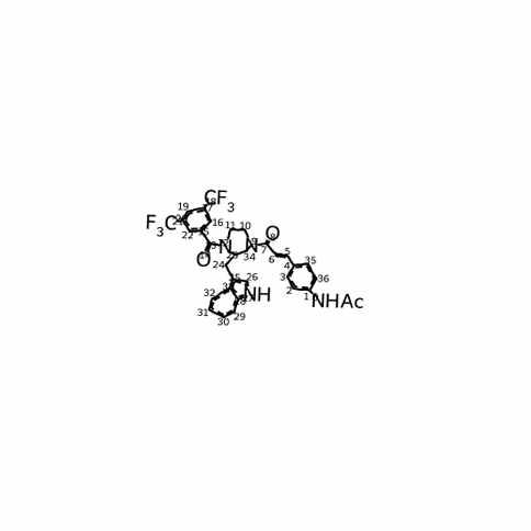 CC(=O)Nc1ccc(/C=C/C(=O)N2CCN(C(=O)c3cc(C(F)(F)F)cc(C(F)(F)F)c3)[C@H](Cc3c[nH]c4ccccc34)C2)cc1